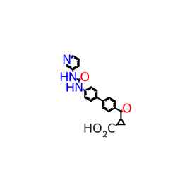 O=C(Nc1ccc(-c2ccc(C(=O)C3CC3C(=O)O)cc2)cc1)Nc1cccnc1